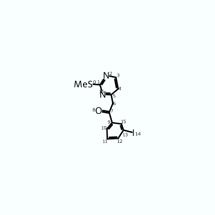 CSc1nccc(CC(=O)c2cccc(I)c2)n1